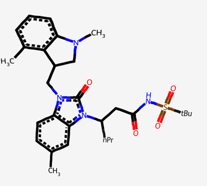 CCCC(CC(=O)NS(=O)(=O)C(C)(C)C)n1c(=O)n(CC2CN(C)c3cccc(C)c32)c2ccc(C)cc21